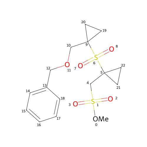 COS(=O)(=O)CC1(S(=O)(=O)C2(COCc3ccccc3)CC2)CC1